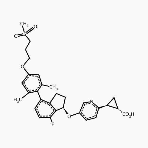 Cc1cc(OCCCS(C)(=O)=O)cc(C)c1-c1ccc(F)c2c1CC[C@H]2Oc1ccc([C@H]2C[C@@H]2C(=O)O)nc1